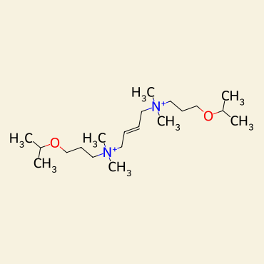 CC(C)OCCC[N+](C)(C)C/C=C/C[N+](C)(C)CCCOC(C)C